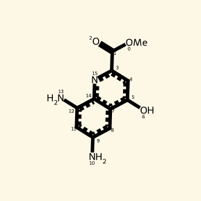 COC(=O)c1cc(O)c2cc(N)cc(N)c2n1